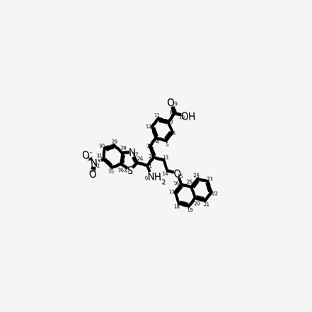 NC(/C(=C/c1ccc(C(=O)O)cc1)CCOc1cccc2ccccc12)c1nc2ccc([N+](=O)[O-])cc2s1